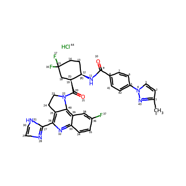 Cc1ccn(-c2ccc(C(=O)N[C@@H]3CCC(F)(F)C[C@@H]3C(=O)N3CCc4c(-c5ncc[nH]5)nc5ccc(F)cc5c43)cc2)n1.Cl